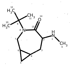 CNC1CC2CC2CN(C(C)(C)C)C1=O